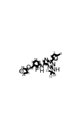 Cc1ccc(-c2nc(NC(C)(C)C)nc3c(Nc4cccc(CO[C@H]5CCOC5)c4F)cnn23)o1